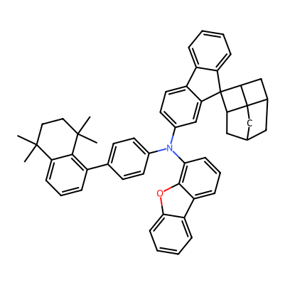 CC1(C)CCC(C)(C)c2c(-c3ccc(N(c4ccc5c(c4)C4(c6ccccc6-5)C5CC6CC7CC4C75C6)c4cccc5c4oc4ccccc45)cc3)cccc21